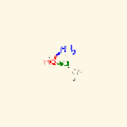 Cl.NO.[Co]